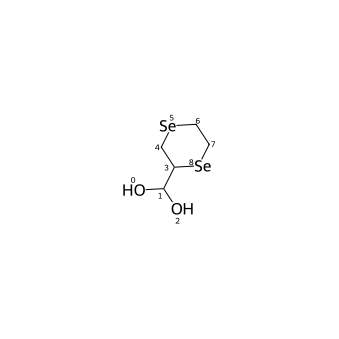 OC(O)C1C[Se]CC[Se]1